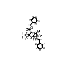 CC1(C)S[C@H]2N(C(=O)C2(Br)/N=C/c2ccccc2)[C@H]1C(=O)OCc1ccccc1